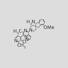 COc1cccc2c1CC1(CCN(c3nc(C)c(-c4ccnc(C)c4Cl)n4nccc34)CC1)[C@@H]2N